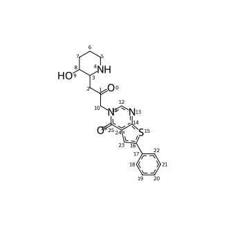 O=C(CC1NCCCC1O)Cn1cnc2sc(-c3ccccc3)cc2c1=O